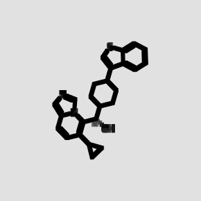 O[C@H](c1c(C2CC2)ccc2cncn12)C1CCC(c2csc3ccccc23)CC1